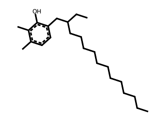 CCCCCCCCCCCCC(CC)Cc1ccc(C)c(C)c1O